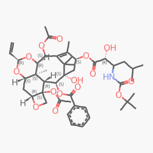 C=C[C@@H]1O[C@H]2C[C@H]3OC[C@@]3(OC(C)=O)[C@H]3[C@H](OC(=O)c4ccccc4)[C@]4(O)C[C@H](OC(=O)[C@H](O)C(CC(C)C)NC(=O)OC(C)(C)C)C(C)=C([C@H](OC(C)=O)[C@H](O1)[C@]23C)C4(C)C